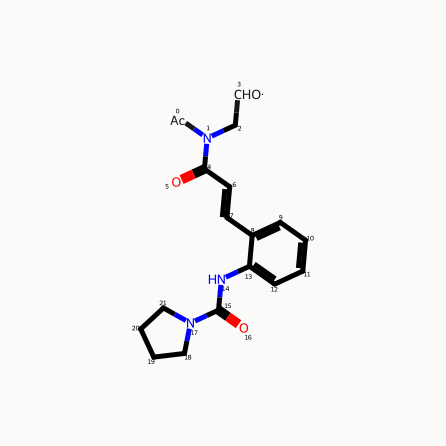 CC(=O)N(C[C]=O)C(=O)/C=C/c1ccccc1NC(=O)N1CCCC1